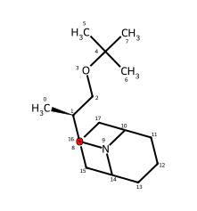 C[C@@H](COC(C)(C)C)CN1C2CCCC1COC2